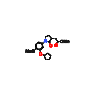 COC(=O)CC1CCN(c2ccc(OC)c(OC3CCCC3)c2)C1=O